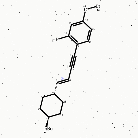 CCCC[C@H]1CC[C@H](/C=C/C#Cc2ccc(OCC)cc2F)CC1